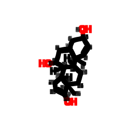 C[C@]12C=CC(O)CC1=CC(O)[C@@H]1[C@H]2CC[C@]2(C)C(O)=CC[C@@H]12